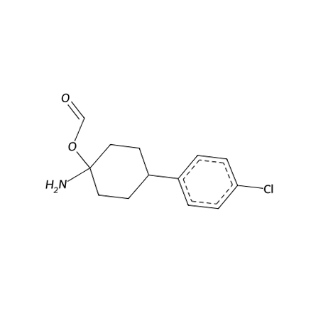 NC1(OC=O)CCC(c2ccc(Cl)cc2)CC1